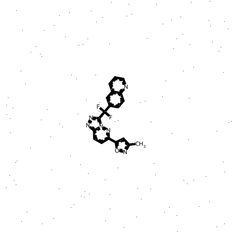 Cc1cc(-c2ccc3nnc(C(F)(F)c4ccc5ncccc5c4)n3n2)on1